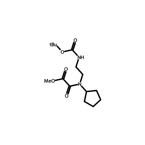 COC(=O)C(=O)N(CCNC(=O)OC(C)(C)C)C1CCCC1